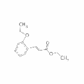 CCOC(=O)/C=C/c1ccccc1OCC